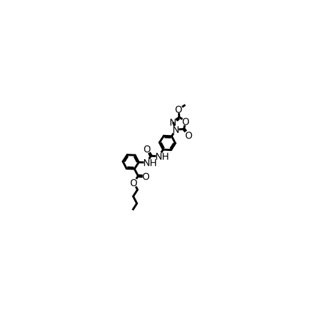 CCCCOC(=O)c1ccccc1NC(=O)Nc1ccc(-n2nc(OC)oc2=O)cc1